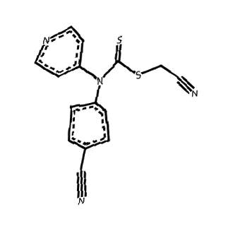 N#CCSC(=S)N(c1ccncc1)c1ccc(C#N)cc1